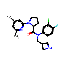 Cc1cc(C(F)(F)F)cc(N2CCC[C@H]2C(=O)N(CC2CNC2)c2ccc(F)c(Cl)c2)n1